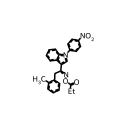 CCC(=O)O/N=C(\Cc1ccccc1C)c1cn(-c2ccc([N+](=O)[O-])cc2)c2ccccc12